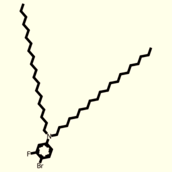 CCCCCCCCCCCCCCCCCCCCN(CCCCCCCCCCCCCCCCCCCC)c1ccc(Br)c(F)c1